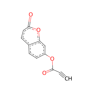 C#CC(=O)Oc1ccc2ccc(=O)oc2c1